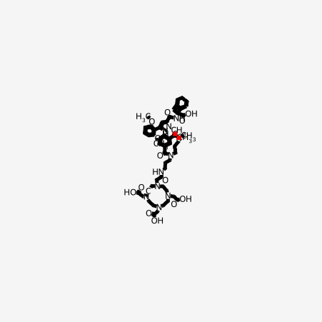 COc1cccc(OC)c1-c1cc(C(=O)NC2(C(=O)O)C3C4=CCC=C3C42)nn1-c1ccc(C(=O)N(CCCNC(=O)CN2CCN(CC(=O)O)CCN(CC(=O)O)CCN(CC(=O)O)CC2)CCCN(C)C)cc1C(C)C